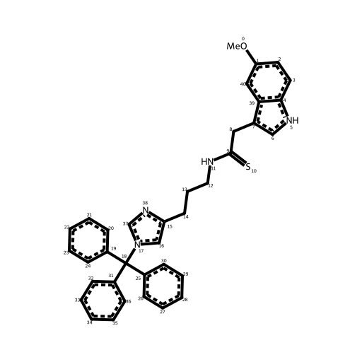 COc1ccc2[nH]cc(CC(=S)NCCCc3cn(C(c4ccccc4)(c4ccccc4)c4ccccc4)cn3)c2c1